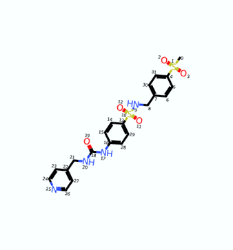 CS(=O)(=O)c1ccc(CNS(=O)(=O)c2ccc(NC(=O)NCc3ccncc3)cc2)cc1